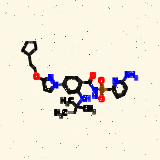 CCC(C)(C)Nc1cc(-n2ccc(OCCC3CCCC3)n2)ccc1C(=O)NS(=O)(=O)c1cccc(N)n1